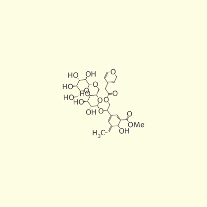 CC=C1C=C(C(COC(=O)CC2=CCOC=C2)O[C@@H]2O[C@H](CO[C@@H]3O[C@H](CO)[C@@H](O)[C@H](O)[C@H]3O)[C@@H](O)[C@H](O)[C@H]2O)C=C(C(=O)OC)C1O